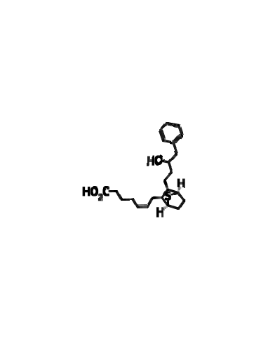 O=C(O)CCC/C=C\C[C@H]1[C@@H](CCC(O)Cc2ccccc2)[C@H]2CC[C@@H]1S2